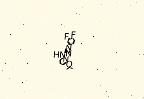 CC(C)Oc1cccc(Nc2cn(-c3ccc(F)c(F)c3)cn2)n1